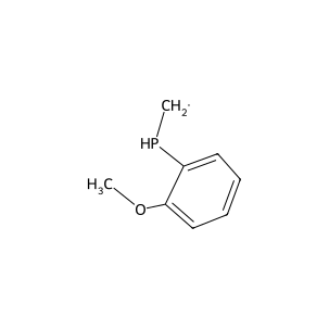 [CH2]Pc1ccccc1OC